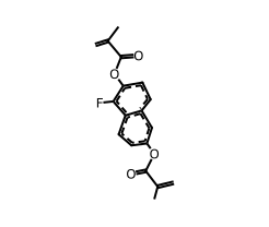 C=C(C)C(=O)Oc1ccc2c(F)c(OC(=O)C(=C)C)ccc2c1